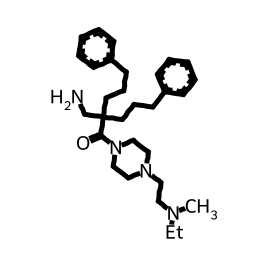 CCN(C)CCN1CCN(C(=O)C(CN)(CCCc2ccccc2)CCCc2ccccc2)CC1